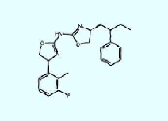 CCC(C[C@H]1COC(NC2=N[C@@H](c3cccc(F)c3C)CO2)=N1)c1ccccc1